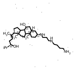 CC(C)[C@H](O)CC[C@@H](C)[C@H]1CCC2C3C(CC[C@@]21C)[C@@]1(C)CC[C@H](NCCCNCCCCN)C[C@H]1C[C@@H]3O